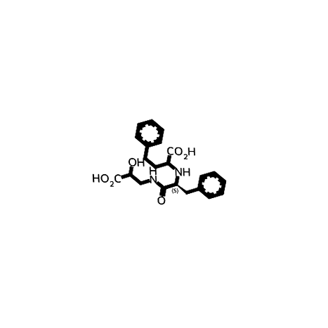 O=C(O)C(O)CNC(=O)[C@H](Cc1ccccc1)NC(CCc1ccccc1)C(=O)O